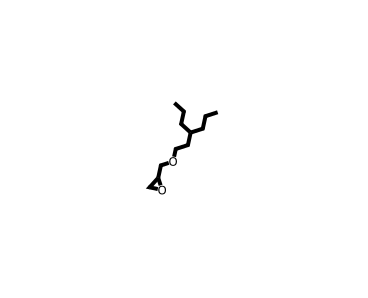 CCCC(CCC)CCOCC1CO1